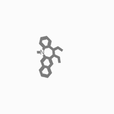 CCC1c2ccccc2N(C)c2cc3ccccc3cc2C1CC